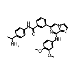 COc1ccc(Nc2nc(-c3cccc(C(=O)Nc4ccc(C(C)N)cc4)c3)cn3ccnc23)cc1OC